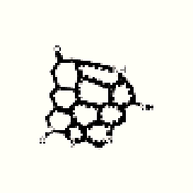 O=C1CC2CC3=c4c5c(sc6cnc7cc8c(O)cc9[nH]c1c1c2c4c(c7c65)c8c91)[S+]([O-])C3